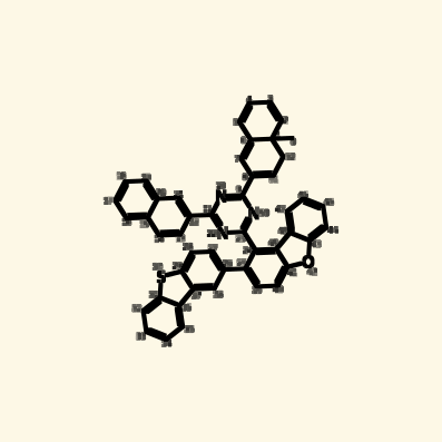 CC12C=CC=CC1=CC(c1nc(-c3ccc4ccccc4c3)nc(-c3c(-c4ccc5sc6ccccc6c5c4)ccc4oc5ccccc5c34)n1)=CC2